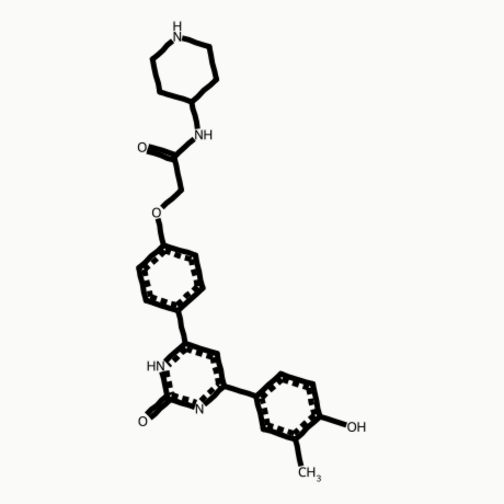 Cc1cc(-c2cc(-c3ccc(OCC(=O)NC4CCNCC4)cc3)[nH]c(=O)n2)ccc1O